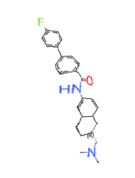 CN(C)C[C@@H]1CCC2C=C(NC(=O)c3ccc(-c4ccc(F)cc4)cc3)C=CC2C1